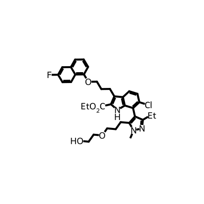 CCOC(=O)c1[nH]c2c(-c3c(CC)nn(C)c3CCCOCCO)c(Cl)ccc2c1CCCOc1cccc2cc(F)ccc12